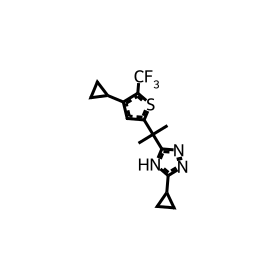 CC(C)(c1nnc(C2CC2)[nH]1)c1cc(C2CC2)c(C(F)(F)F)s1